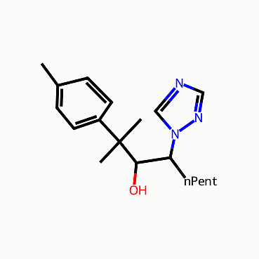 CCCCCC(C(O)C(C)(C)c1ccc(C)cc1)n1cncn1